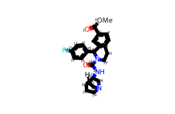 COC(=O)c1ccc2c(c1)C(c1ccc(F)cc1)N(C(=O)N[C@@H]1CN3CCC1CC3)CC2